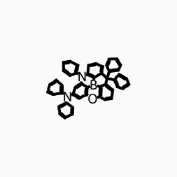 c1ccc(N(c2ccccc2)c2cc3c4c(c2)N(c2ccccc2)c2cccc5c2B4c2c(cccc2C5(c2ccccc2)c2ccccc2)O3)cc1